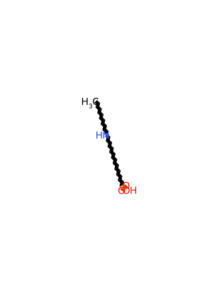 CCCCCCCCCCCCNCCCCCCCCCCCCCCCCCCS(=O)(=O)O